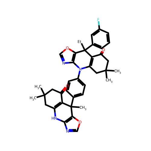 CCC1(c2cccc(F)c2)C2=C(CC(C)(C)CC2=O)N(c2ccc(C3(C)C4=C(CC(C)(C)CC4=O)Nc4ncoc43)cc2)c2ncoc21